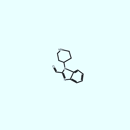 O=Cc1nc2ccccc2n1C1CCNCC1